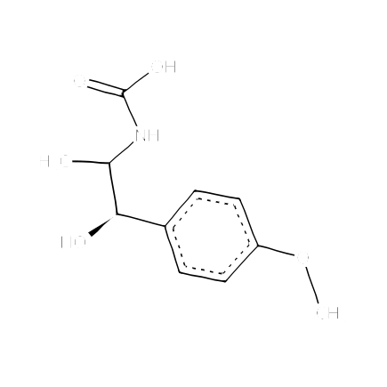 COc1ccc([C@@H](O)C(C)NC(=O)O)cc1